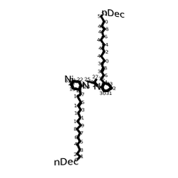 CCCCCCCCCCCCCCCCCCCCCCCC=CCCc1ccccc1N=CC(C)=Nc1ccccc1CCC=CCCCCCCCCCCCCCCCCCCCCCCC.[Ni]